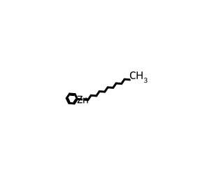 CCCCCCCCCCC[CH2][Zn][c]1ccccc1